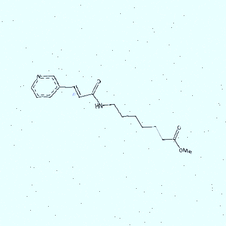 COC(=O)CCCCCCNC(=O)/C=C/c1cccnc1